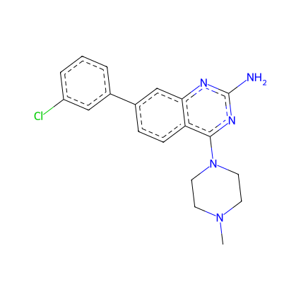 CN1CCN(c2nc(N)nc3cc(-c4cccc(Cl)c4)ccc23)CC1